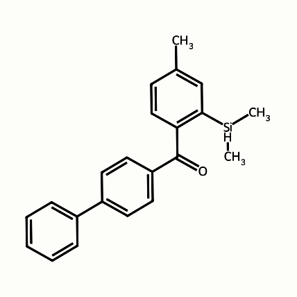 Cc1ccc(C(=O)c2ccc(-c3ccccc3)cc2)c([SiH](C)C)c1